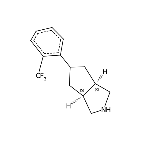 FC(F)(F)c1ccccc1C1C[C@H]2CNC[C@H]2C1